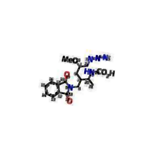 COC(CN=[N+]=[N-])CC(CN1C(=O)c2ccccc2C1=O)C(C)NC(=O)O